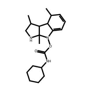 CC1C=CC=C2C1C1C(C)CNC1(C)N2OC(=O)NC1CCCCC1